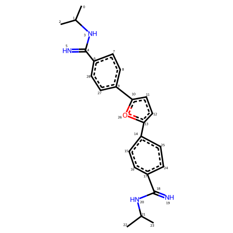 CC(C)NC(=N)c1ccc(-c2ccc(-c3ccc(C(=N)NC(C)C)cc3)o2)cc1